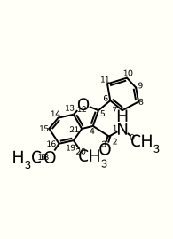 CNC(=O)c1c(-c2ccccc2)oc2ccc(OC)c(C)c12